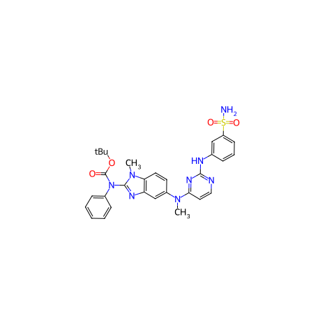 CN(c1ccc2c(c1)nc(N(C(=O)OC(C)(C)C)c1ccccc1)n2C)c1ccnc(Nc2cccc(S(N)(=O)=O)c2)n1